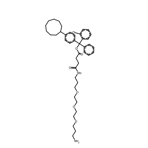 NCCCOCCOCCOCCCNC(=O)CCC(=O)OC(c1ccccc1)(c1ccc(C2CCCCCCCC2)cc1)c1ccccc1Cl